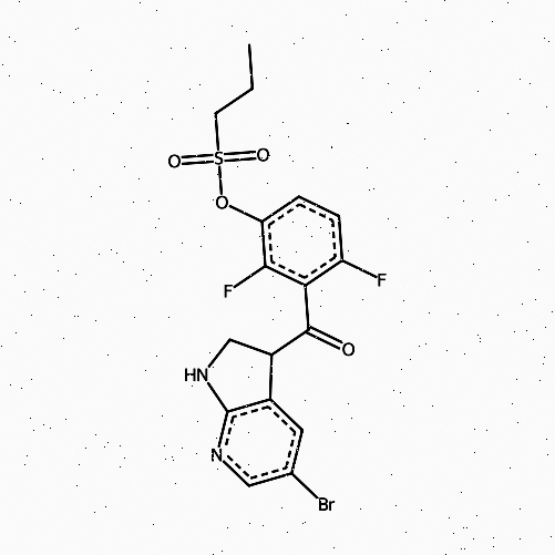 CCCS(=O)(=O)Oc1ccc(F)c(C(=O)C2CNc3ncc(Br)cc32)c1F